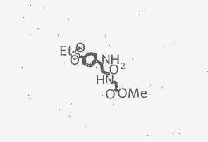 CCS(=O)(=O)c1ccc([C@@H](N)CC(=O)NCC(=O)OC)cc1